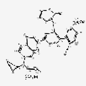 CCC1CCCCN1Cc1cc([C@@H]2CCc3ccc([C@H](C4CC4)[C@H](C)C(=O)O)cc3O2)ccc1-c1cc(OC)ncc1F